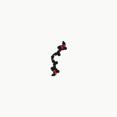 C=Cc1ccc(OCCC2(c3ccccc3)c3ccccc3-c3ccc(N(c4ccc(-c5ccc6c(c5)c5ccccc5n6-c5ccc(COCc6ccc(COCc7ccc(-n8c9ccccc9c9cc(-c%10ccc(N(c%11ccc%12c(c%11)C(CCOc%11ccc(C=C)c(C)c%11)(c%11ccccc%11)c%11ccccc%11-%12)c%11cccc%12ccccc%11%12)cc%10)ccc98)cc7)cc6)cc5)cc4)c4cccc5ccccc45)cc32)cc1